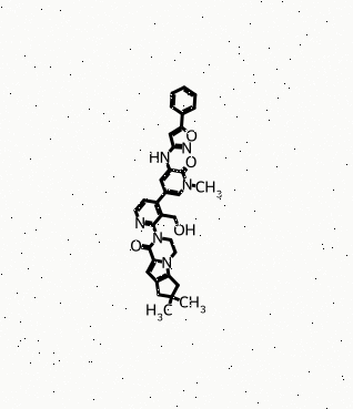 Cn1cc(-c2ccnc(N3CCn4c(cc5c4CC(C)(C)C5)C3=O)c2CO)cc(Nc2cc(-c3ccccc3)on2)c1=O